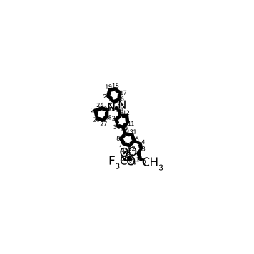 C/C=C(\C=C/c1cccc(-c2ccc(-c3nc4ccccc4n3-c3ccccc3)cc2)c1)OS(=O)(=O)C(F)(F)F